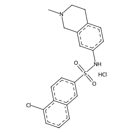 CN1CCc2ccc(NS(=O)(=O)c3ccc4c(Cl)cccc4c3)cc2C1.Cl